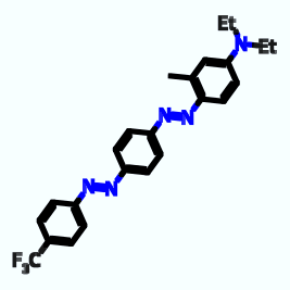 CCN(CC)c1ccc(N=Nc2ccc(N=Nc3ccc(C(F)(F)F)cc3)cc2)c(C)c1